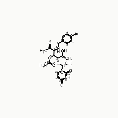 CC(=O)C(NCc1ccc(I)cc1)[C@H](OC(N)=O)[C@@H](O[C@H](C)n1ccc(=O)[nH]c1=O)C(C)O